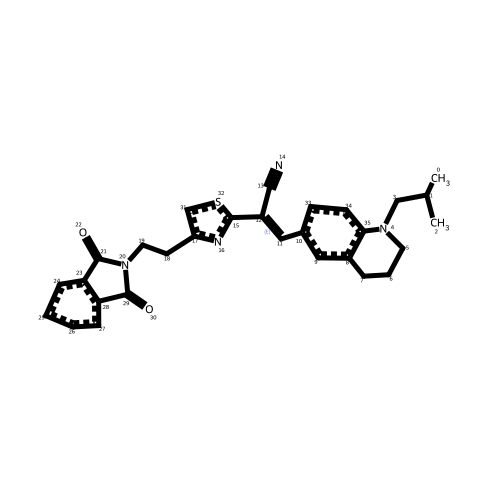 CC(C)CN1CCCc2cc(/C=C(\C#N)c3nc(CCN4C(=O)c5ccccc5C4=O)cs3)ccc21